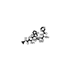 CCC[C@H](NC(=O)C1[C@H]2CCC[C@H]2CN1C(=O)[C@@H](NC(=O)[C@@H](NC(=O)c1cnccn1)C(C)CC)C(C)(C)C)C(=O)C(=O)NC1CC1